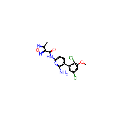 COc1cc(Cl)cc(-c2ccc(NC(=O)c3nonc3C)nc2N)c1Cl